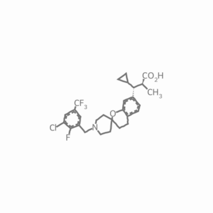 C[C@H](C(=O)O)[C@H](c1ccc2c(c1)OC1(CC2)CCN(Cc2cc(C(F)(F)F)cc(Cl)c2F)CC1)C1CC1